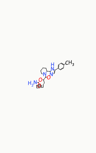 Cc1ccc(-c2cnc(C3CCCCN3C(=O)C(CC(C)(C)C)OC(N)=O)[nH]2)cc1